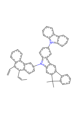 C=Cc1c(/C=C\C)c2ccc(-n3c4ccc(-n5c6ccccc6c6ccccc65)cc4c4cc5c(cc43)C(C)(C)c3ccccc3-5)cc2c2ccccc12